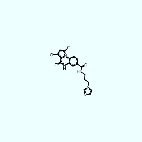 O=C(NCCCn1ccnc1)c1ccc2c(c1)[nH]c(=O)c1c(Cl)cc(Cl)n12